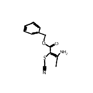 C/C(N)=C(\SC#N)C(=O)OCc1ccccc1